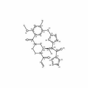 C=CC(=O)N1CCN(C(=O)c2cc(Sc3cnc(NC(=O)c4cnsc4)s3)c(C)cc2OC)C[C@H]1CC